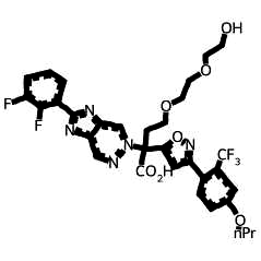 CCCOc1ccc(-c2cc(C(CCOCCOCCO)(C(=O)O)n3cc4nc(-c5cccc(F)c5F)nc-4cn3)on2)c(C(F)(F)F)c1